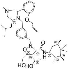 C=CCOc1ccccc1CN(Cc1cccc(CN2O[C@@H](CO)[C@@H]([C@H](C)O)[C@H]2C(=O)N[C@H]2C[C@@H](C)C(C)(C)[C@@H](C)[C@@H]2C)c1)[C@@H](CC(C)C)CN(C)C